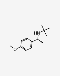 COc1ccc([C@H](C)NC(C)(C)C)cc1